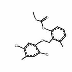 COC(=O)Oc1cccc(C)c1COc1cc(Cl)c(C)cc1Cl